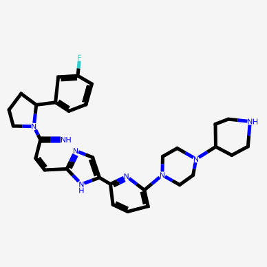 N=C(/C=C\c1ncc(-c2cccc(N3CCN(C4CCNCC4)CC3)n2)[nH]1)N1CCCC1c1cccc(F)c1